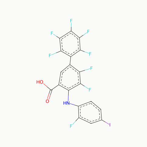 O=C(O)c1cc(-c2c(F)c(F)c(F)c(F)c2F)c(F)c(F)c1Nc1ccc(I)cc1F